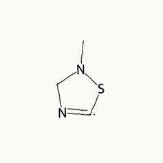 CN1CN=[C]S1